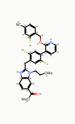 COCCn1c(Cc2cc(F)c(-c3cccnc3OCc3ccc(C#N)cc3F)cc2F)nc2ccc(C(=O)OC)cc21